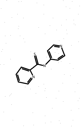 S=C([N]c1ccncc1)c1ccccn1